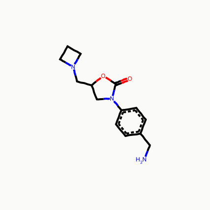 NCc1ccc(N2CC(CN3CCC3)OC2=O)cc1